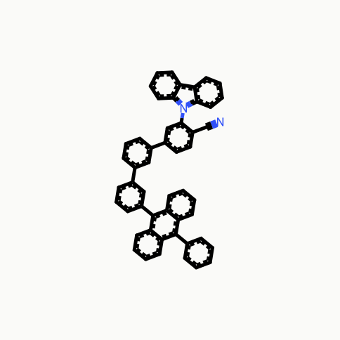 N#Cc1ccc(-c2cccc(-c3cccc(-c4c5ccccc5c(-c5ccccc5)c5ccccc45)c3)c2)cc1-n1c2ccccc2c2ccccc21